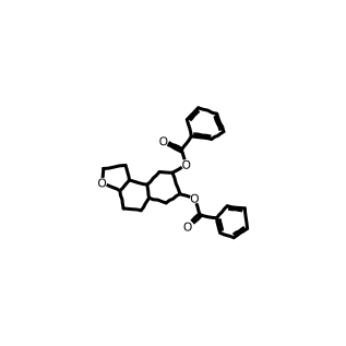 O=C(OC1CC2CCC3OCCC3C2CC1OC(=O)c1ccccc1)c1ccccc1